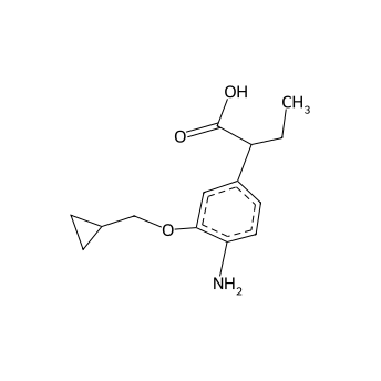 CCC(C(=O)O)c1ccc(N)c(OCC2CC2)c1